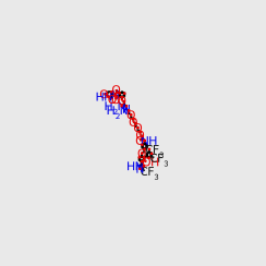 N/C(=C\N(N)CCOCCOCCOCCOCC(=O)Nc1ccc(COc2ccc(-c3cc(C(F)(F)F)n[nH]3)c(O)c2-c2cc(C(F)(F)F)cc(C(F)(F)F)c2)cc1)COc1cccc2c1C(=O)N(C1CCC(=O)NC1=O)C2=O